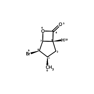 C[C@@H]1C[C@H]2C(=O)OC2[C@@H]1Br